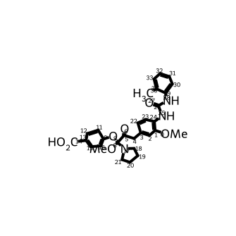 COc1cc(CC(=O)C(OC)(Oc2ccc(C(=O)O)cc2)N2CCCC2)ccc1NC(=O)Nc1ccccc1C